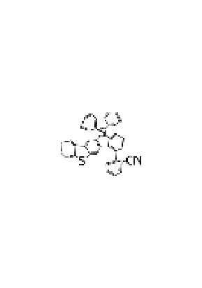 N#Cc1ccccc1-c1cccc([Si](c2ccccc2)(c2ccccc2)c2ccc3sc4ccccc4c3c2)c1